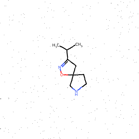 CC(C)C1=NOC2(CCNC2)C1